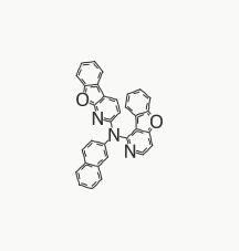 c1ccc2cc(N(c3ccc4c(n3)oc3ccccc34)c3nccc4oc5ccccc5c34)ccc2c1